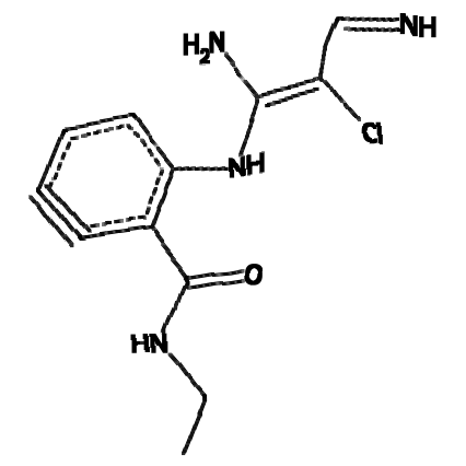 CCNC(=O)c1c#cccc1N/C(N)=C(\Cl)C=N